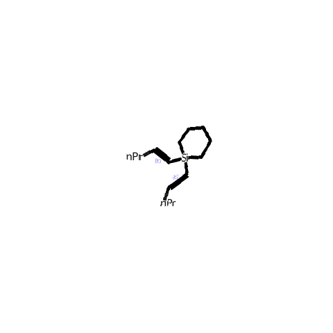 CCC/C=C/[Si]1(/C=C/CCC)CCCCC1